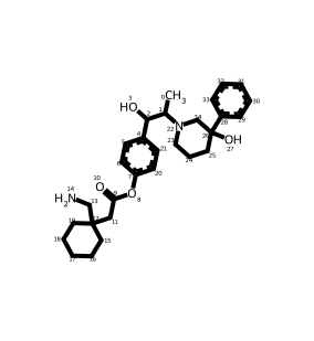 CC(C(O)c1ccc(OC(=O)CC2(CN)CCCCC2)cc1)N1CCCC(O)(c2ccccc2)C1